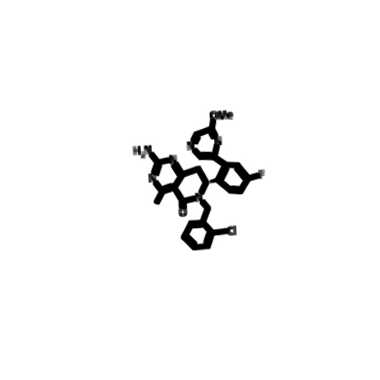 COc1cncc(-c2cc(F)ccc2[C@H]2Cc3nc(N)nc(C)c3C(=O)N2Cc2ccccc2Cl)n1